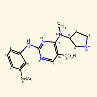 CC(=O)Nc1cccc(Nc2ncc(C(=O)O)c(N(C)C3CCNC3)n2)c1